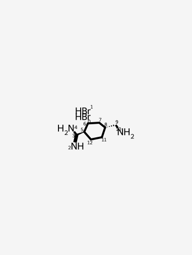 Br.Br.N=C(N)[C@H]1CC[C@H](CN)CC1